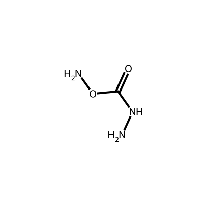 NNC(=O)ON